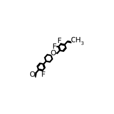 C/C=C/c1ccc(COC2CCC(c3ccc(C4CO4)c(F)c3)CC2)c(F)c1F